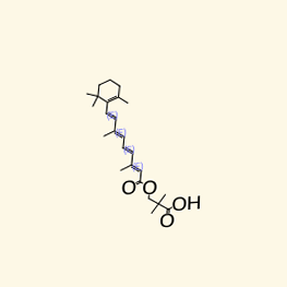 CC1=C(/C=C/C(C)=C/C=C/C(C)=C/C(=O)OCC(C)(C)C(=O)O)C(C)(C)CCC1